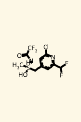 C[SH](O)(Cc1cc(Cl)nc(C(F)F)c1)=NC(=O)C(F)(F)F